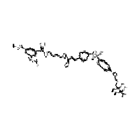 Nc1cc(N)cc(C(=O)OCCCCOC(=O)C=Cc2ccc(OC(F)(F)c3ccc(OCCCC(F)(F)C(F)(F)F)cc3)cc2)c1